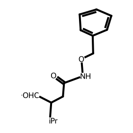 CC(C)C([C]=O)CC(=O)NOCc1ccccc1